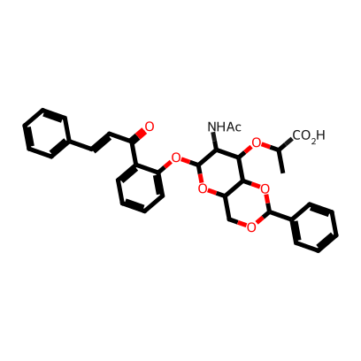 CC(=O)NC1C(Oc2ccccc2C(=O)/C=C/c2ccccc2)OC2COC(c3ccccc3)OC2C1OC(C)C(=O)O